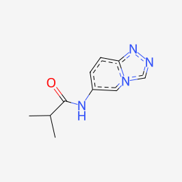 CC(C)C(=O)Nc1ccc2nncn2c1